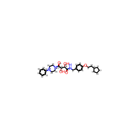 O=C(NCc1ccc(OCCC2CCCC2)cc1)[C@H](O)[C@@H](O)C(=O)N1CCN(c2ccccc2)CC1